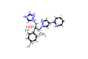 C[C@@H](n1cc(-c2ccccn2)cn1)[C@](O)(Cn1cncn1)c1ccc(F)cc1F